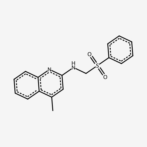 Cc1cc(NCS(=O)(=O)c2ccccc2)nc2ccccc12